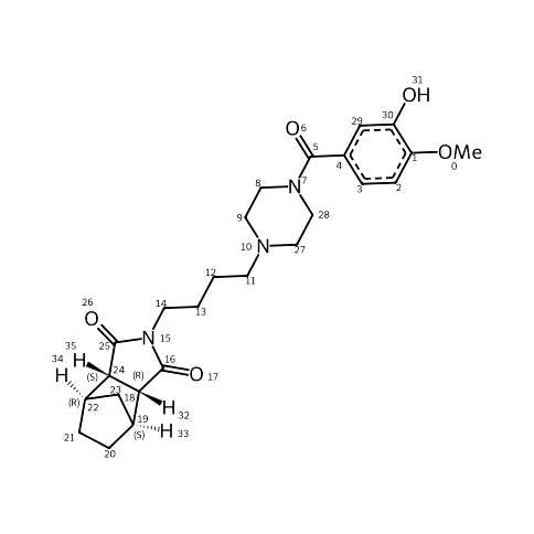 COc1ccc(C(=O)N2CCN(CCCCN3C(=O)[C@@H]4[C@H]5CC[C@H](C5)[C@@H]4C3=O)CC2)cc1O